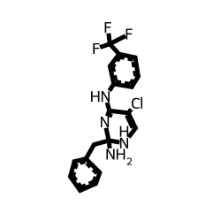 NC1(Cc2ccccc2)N=C(Nc2cccc(C(F)(F)F)c2)C(Cl)=CN1